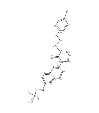 CC(C)(O)COc1ccc2cc(-n3ccnc(SCCc4ccc(F)cc4)c3=O)ccc2n1